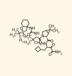 CC1(C)C2CN(C(=O)[C@@H](NC(=O)NC3(CS(=O)(=O)C(C)(C)C)CCCCC3)C(C)(C)C)[C@H](C(=O)NC(CC3CCC3)C(=O)C(N)=O)C21